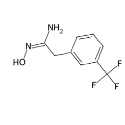 N/C(Cc1cccc(C(F)(F)F)c1)=N/O